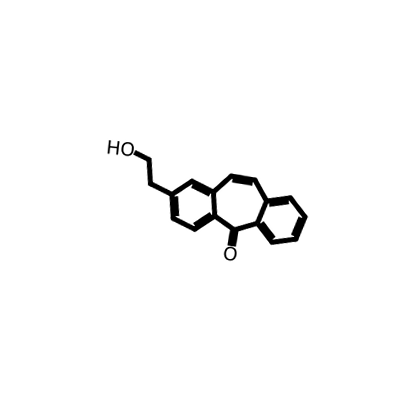 O=c1c2ccccc2ccc2cc(CCO)ccc12